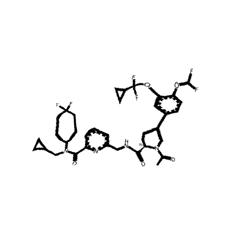 CC(=O)N1CC(c2ccc(OC(F)F)c(OC(F)(F)C3CC3)c2)C[C@@H]1C(=O)NCc1cccc(C(=O)N(CC2CC2)C2CCC(F)(F)CC2)n1